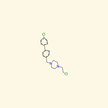 ClCCN1CCN(Cc2ccc(-c3ccc(Cl)cc3)cc2)CC1